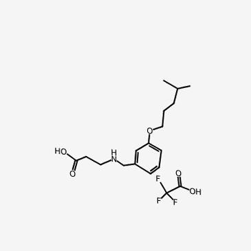 CC(C)CCCOc1cccc(CNCCC(=O)O)c1.O=C(O)C(F)(F)F